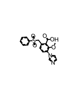 COc1c(-n2ccnc2)ccc(CS(=O)(=O)c2ccccc2)c1C(=O)O